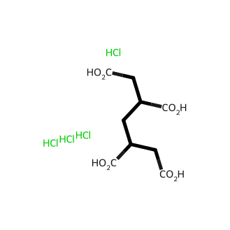 Cl.Cl.Cl.Cl.O=C(O)CC(CC(CC(=O)O)C(=O)O)C(=O)O